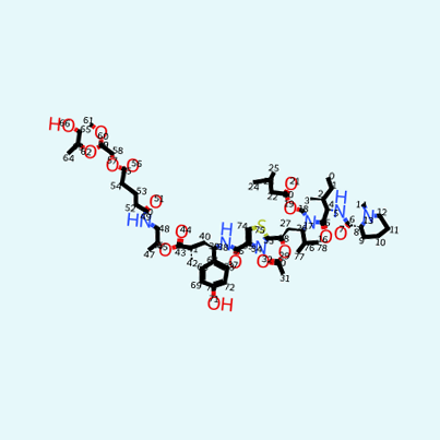 CC[C@H](C)[C@H](NC(=O)[C@H]1CCCCN1C)C(=O)N(COC(=O)CC(C)C)[C@H](C[C@@H](OC(C)=O)c1nc(C(=O)N[C@H](C[C@H](C)C(=O)OC(C)CNC(=O)CCCC(=O)OCC(OC)OC(C)CO)c2ccc(O)cc2)cs1)C(C)C